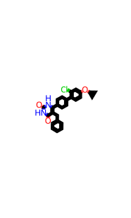 O=c1[nH]c(C2CC=C(c3ccc(OC4CC4)cc3Cl)CC2)c(Cc2ccccc2)c(=O)[nH]1